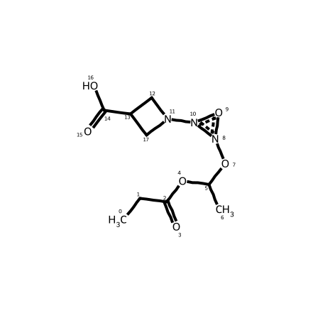 CCC(=O)OC(C)On1on1N1CC(C(=O)O)C1